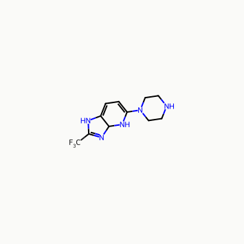 FC(F)(F)C1=NC2NC(N3CCNCC3)=CC=C2N1